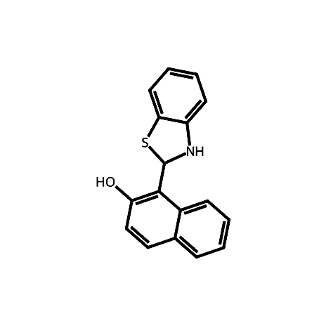 Oc1ccc2ccccc2c1C1Nc2ccccc2S1